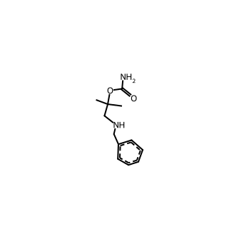 CC(C)(CNCc1ccccc1)OC(N)=O